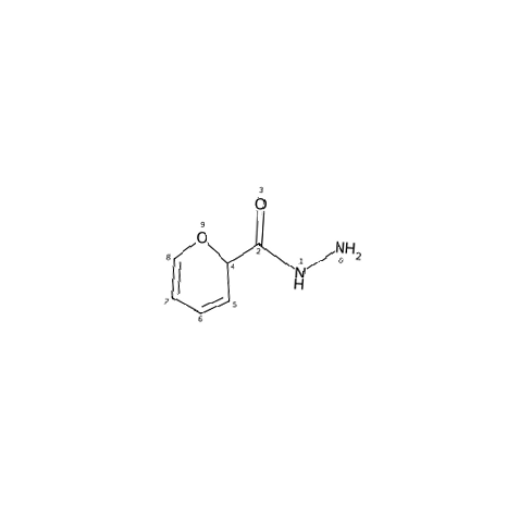 NNC(=O)C1C=CC=CO1